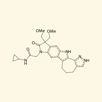 COCC1(COC)C(=O)N(CC(=O)NC2CC2)c2cc3c4c([nH]c3cc21)-c1n[nH]cc1CCC4